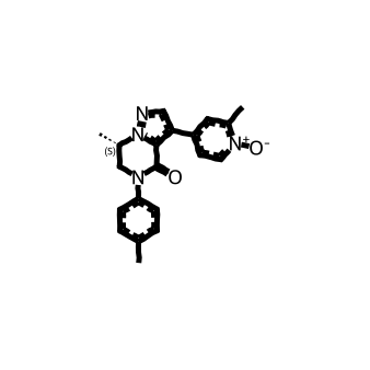 Cc1ccc(N2C[C@H](C)n3ncc(-c4cc[n+]([O-])c(C)c4)c3C2=O)cc1